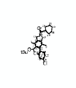 Cc1c2c(c(C)c(C(OC(C)(C)C)C(=O)O)c1-c1ccc(Cl)cc1)CN(C(=O)C1CCCCC1)C2